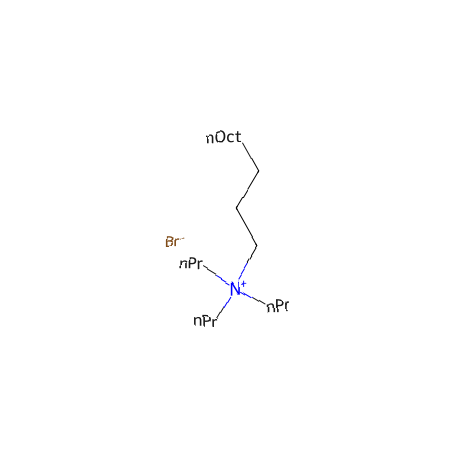 CCCCCCCCCCC[N+](CCC)(CCC)CCC.[Br-]